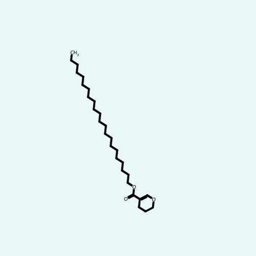 CCCCCCCCCCCCCCCCCCCCCCOC(=O)C1=COCCC1